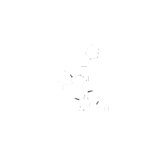 CCOC(=O)[C@H](CCC1CCCCC1)N[C@@H](C)C(=O)N1C(=O)N(C)C[C@H]1C(=O)O.Cl